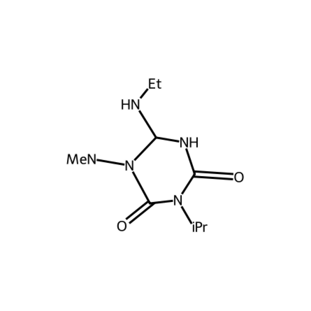 CCNC1NC(=O)N(C(C)C)C(=O)N1NC